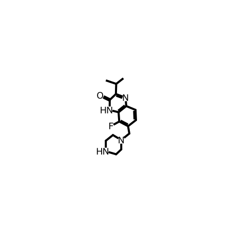 CC(C)c1nc2ccc(CN3CCNCC3)c(F)c2[nH]c1=O